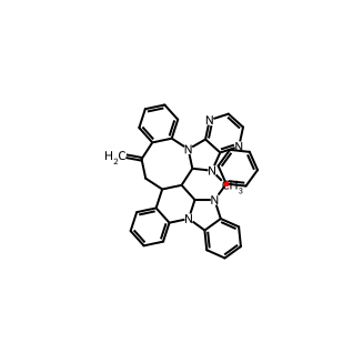 C=C1CC2c3ccccc3N3c4ccccc4N(c4ccccc4)C3C2C2N(C)c3nccnc3N2c2ccccc21